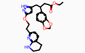 CCOC(=O)CC(Cc1cc(OCCc2ccc3c(n2)NCCC3)n[nH]1)c1ccc2c(c1)OCO2